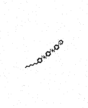 CCCCCCCc1ccc(/N=N/c2ccc(/N=N/c3ccc(N4CCCC4)cc3)cc2)cc1